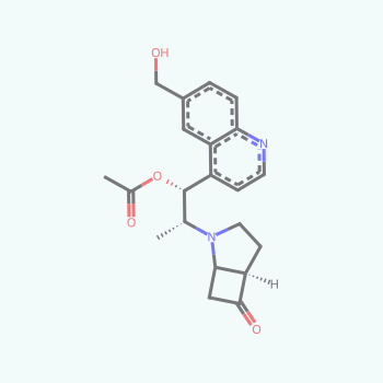 CC(=O)O[C@H](c1ccnc2ccc(CO)cc12)[C@@H](C)N1CC[C@H]2C(=O)CC21